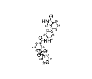 O=C(Nc1ccc(-c2cccc3c2CNC3=O)cc1)c1cccc(S(=O)(=O)N2CCOCC2)c1